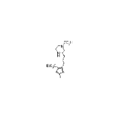 CCOC(=O)c1cc(C)nn1CCC[C@@H]1CN(C(=O)O)CCN1